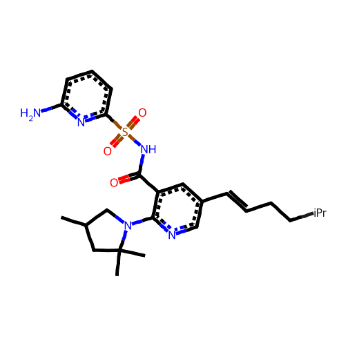 CC(C)CC/C=C/c1cnc(N2CC(C)CC2(C)C)c(C(=O)NS(=O)(=O)c2cccc(N)n2)c1